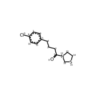 O=C(CCCc1ccc(Cl)cc1)N1CCSC1